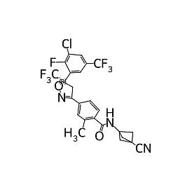 Cc1cc(C2=NO[C@](c3cc(C(F)(F)F)cc(Cl)c3F)(C(F)(F)F)C2)ccc1C(=O)NC12CC(C#N)(C1)C2